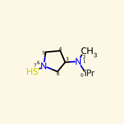 CC(C)N(C)C1CCN(S)C1